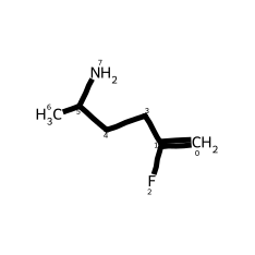 C=C(F)CCC(C)N